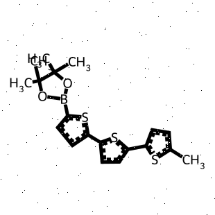 Cc1ccc(-c2ccc(-c3ccc(B4OC(C)(C)C(C)(C)O4)s3)s2)s1